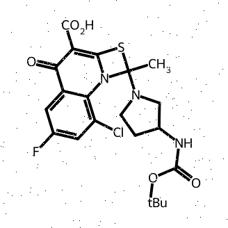 CC(C)(C)OC(=O)NC1CCN(C2(C)Sc3c(C(=O)O)c(=O)c4cc(F)cc(Cl)c4n32)C1